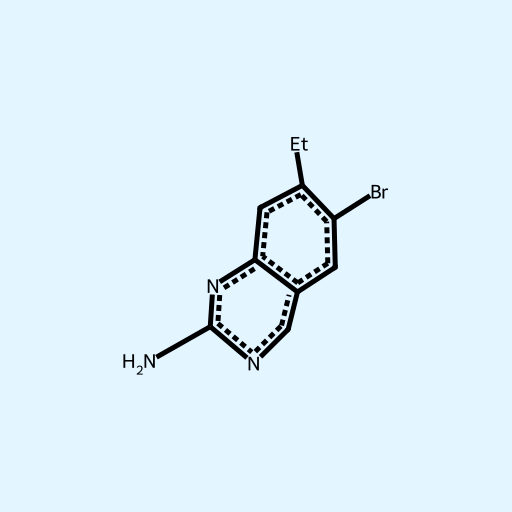 CCc1cc2nc(N)ncc2cc1Br